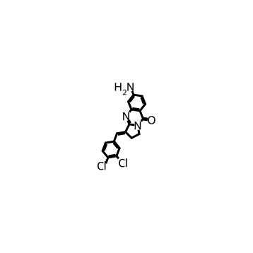 Nc1ccc2c(=O)n3c(nc2c1)C(=Cc1ccc(Cl)c(Cl)c1)CC3